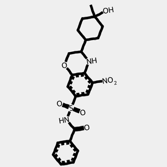 CC1(O)CCC(C2COc3cc(S(=O)(=O)NC(=O)c4ccccc4)cc([N+](=O)[O-])c3N2)CC1